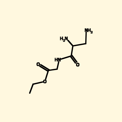 CCOC(=O)CNC(=O)C(N)CN